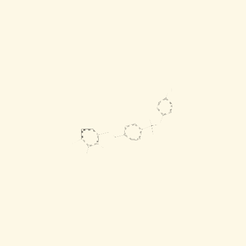 CCc1ccc(OCc2ccc(C(F)(F)Oc3ccc(C)cc3)cc2)c(F)c1F